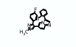 Cn1cc(-c2ccc3ncc(-c4ccccc4Cl)n3c2)c(-c2ccc(F)cc2)n1